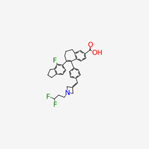 O=C(O)c1ccc2c(c1)CCCC(c1ccc3c(c1F)CCC3)=C2c1ccc(C=C2CN(CCC(F)F)C2)cc1